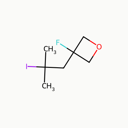 CC(C)(I)CC1(F)COC1